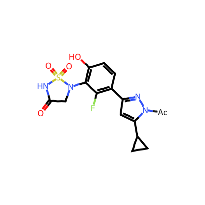 CC(=O)n1nc(-c2ccc(O)c(N3CC(=O)NS3(=O)=O)c2F)cc1C1CC1